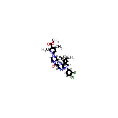 COC(=O)c1c(C)cc(N2CCN(C(=O)c3cnc4c(n3)C3(CN4c4ccc(Cl)c(F)c4)CC(C)(C)C3)C(C)(C)C2)nc1C